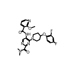 COc1ncccc1C(=O)Nc1cnc(C(=O)N(C)C)nc1N1CCC(Oc2ccc(F)cc2F)CC1